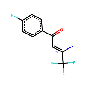 N/C(=C\C(=O)c1ccc(F)cc1)C(F)(F)F